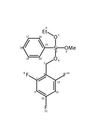 CCO[Si](OC)(OCc1c(F)cc(F)cc1F)c1ccccc1